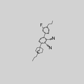 CCCc1ccc(-c2ccc(C34CCC(CCC)(CC3)CC4)c(C#N)c2C#N)cc1F